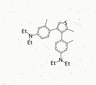 CCN(CC)c1ccc(-c2csc(C)c2-c2ccc(N(CC)CC)cc2C)c(C)c1